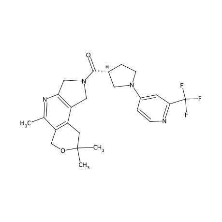 Cc1nc2c(c3c1COC(C)(C)C3)CN(C(=O)[C@@H]1CCN(c3ccnc(C(F)(F)F)c3)C1)C2